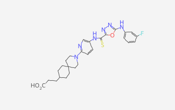 O=C(O)CCC1CCC2(CC1)CCN(c1ccc(NC(=S)c3nnc(Nc4cccc(F)c4)o3)cn1)CC2